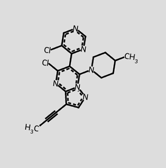 CC#Cc1cnn2c(N3CCC(C)CC3)c(-c3ncncc3Cl)c(Cl)nc12